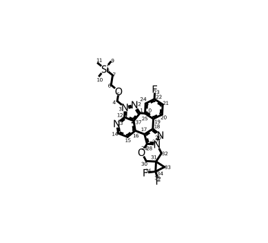 Cc1nn(COCC[Si](C)(C)C)c2nccc(-c3c(-c4ccc(F)cc4)nn4c3OCC3(C4)CC3(F)F)c12